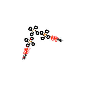 O=P([O-])([O-])[O-].O=P([O-])([O-])[O-].O=P([O-])([O-])[O-].O=P([O-])([O-])[O-].[H+].[H+].[H+].[H+].[H+].[H+].[H+].[H+].[H+].c1ccc(C[P+](Cc2ccccc2)(Cc2ccccc2)Cc2ccccc2)cc1.c1ccc(C[P+](Cc2ccccc2)(Cc2ccccc2)Cc2ccccc2)cc1.c1ccc(C[P+](Cc2ccccc2)(Cc2ccccc2)Cc2ccccc2)cc1